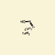 O=NO.[CaH2].[CaH2]